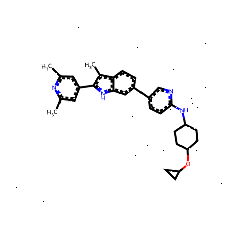 Cc1cc(-c2[nH]c3cc(-c4ccc(NC5CCC(OC6CC6)CC5)nc4)ccc3c2C)cc(C)n1